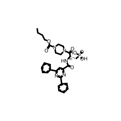 CCCCOC(=O)N1CCN(C(=O)[C@H](CP(=O)(O)O)NC(=O)c2cc(-c3ccccc3)nc(-c3ccccc3)n2)CC1